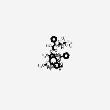 CC(=O)O[C@H]1C(=O)[C@]2(C)C=C[C@H]3CO[C@@]3(OC(C)=O)[C@H]2[C@H](OC(=O)c2ccccc2)[C@]2(O)C[C@H](OC(=O)[C@H](O)[C@@H](NC(=O)NC(C)(C)C)c3ccccc3)C(C)=C1C2(C)C